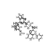 O=C(CC(c1ccccc1)c1ccccc1)NC1CCN(c2nc(Nc3cc(C4CC4)n[nH]3)c3cccn3n2)CC1